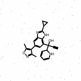 C#CC(O)(c1cc(-c2c(C)noc2C)cc2nc(C3CC3)[nH]c12)C1C=CC=CN1